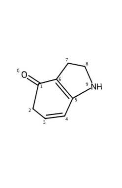 O=C1CC=CC2=C1CCN2